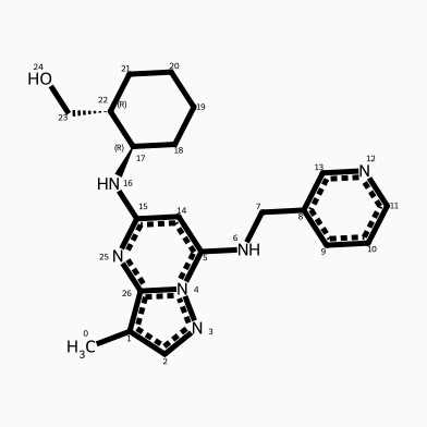 Cc1cnn2c(NCc3cccnc3)cc(N[C@@H]3CCCC[C@H]3CO)nc12